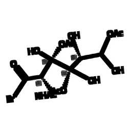 CC(=O)N[C@H](C(=O)Br)[C@](O)(OC(C)=O)[C@@](O)(OC(C)=O)[C@H](O)C(O)OC(C)=O